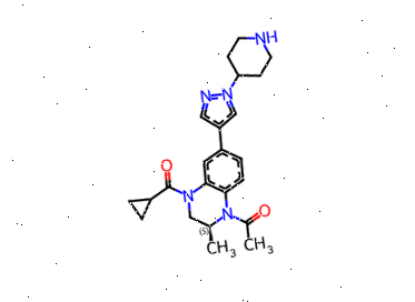 CC(=O)N1c2ccc(-c3cnn(C4CCNCC4)c3)cc2N(C(=O)C2CC2)C[C@@H]1C